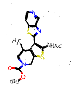 CC(=O)Nc1sc2c(c1-c1nc3cnccc3s1)C(C)CN(C(=O)OC(C)(C)C)C2